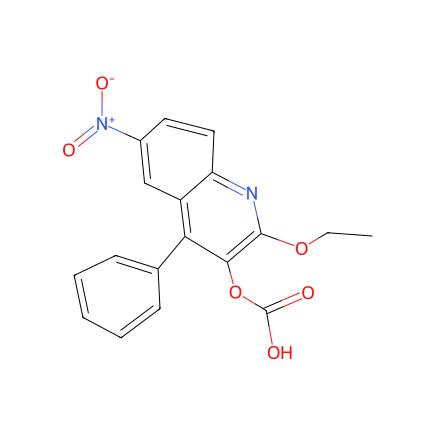 CCOc1nc2ccc([N+](=O)[O-])cc2c(-c2ccccc2)c1OC(=O)O